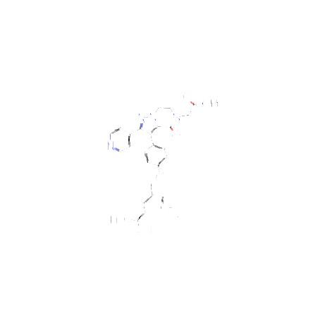 C=C/C(=C\C=C(C)C)COc1ccc(-c2c(-c3ccncc3)nn3c2C(=O)N(CC(C)=O)CC3)cc1